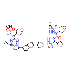 COC(=O)N[C@H](C(=O)N[C@H](c1ncc(-c2ccc(-c3ccc4cc(-c5cnc([C@@H]6CC7(CC7)CN6C(=O)[C@@H](NC(=O)OC)C6CCOCC6)[nH]5)ccc4c3)cc2)[nH]1)C1CCCC1)C1CCOCC1